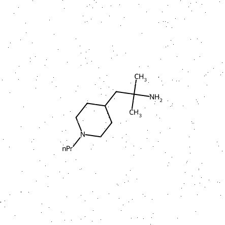 C[CH]CN1CCC(CC(C)(C)N)CC1